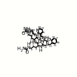 NC(=O)NCCCC(NC(=O)CN(Cc1ccccc1)C(=O)CNCc1cccnc1)C(=O)NC(CCCNC(N)=O)C(=O)NCCS